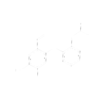 Cc1cc(C=O)c(Oc2ccccc2OC(F)F)cc1Cl